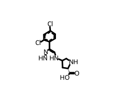 N=N/C(=C\NC1CN[C@H](C(=O)O)C1)c1ccc(Cl)cc1Cl